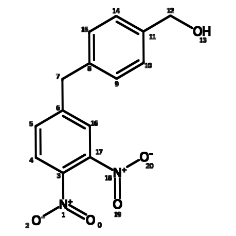 O=[N+]([O-])c1ccc(Cc2ccc(CO)cc2)cc1[N+](=O)[O-]